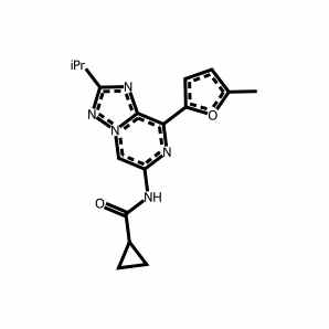 Cc1ccc(-c2nc(NC(=O)C3CC3)cn3nc(C(C)C)nc23)o1